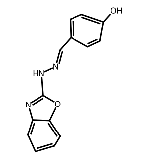 Oc1ccc(C=NNc2nc3ccccc3o2)cc1